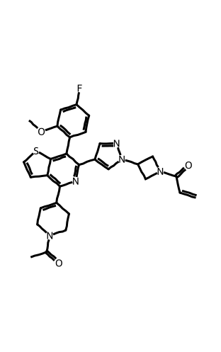 C=CC(=O)N1CC(n2cc(-c3nc(C4=CCN(C(C)=O)CC4)c4ccsc4c3-c3ccc(F)cc3OC)cn2)C1